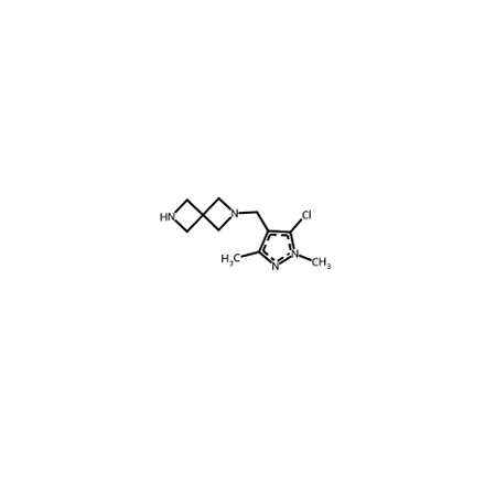 Cc1nn(C)c(Cl)c1CN1CC2(CNC2)C1